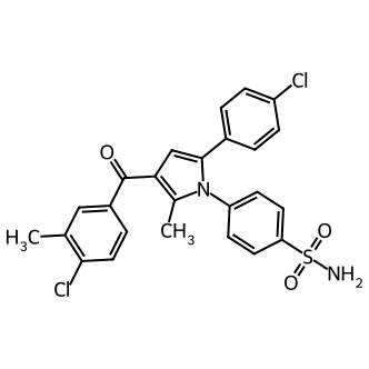 Cc1cc(C(=O)c2cc(-c3ccc(Cl)cc3)n(-c3ccc(S(N)(=O)=O)cc3)c2C)ccc1Cl